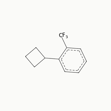 FC(F)(F)c1ccccc1C1CCC1